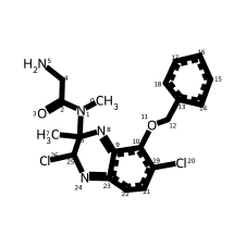 CN(C(=O)CN)C1(C)N=c2c(OCc3ccccc3)c(Cl)ccc2=NC1Cl